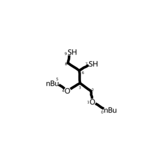 CCCCOCC(OCCCC)C(S)CS